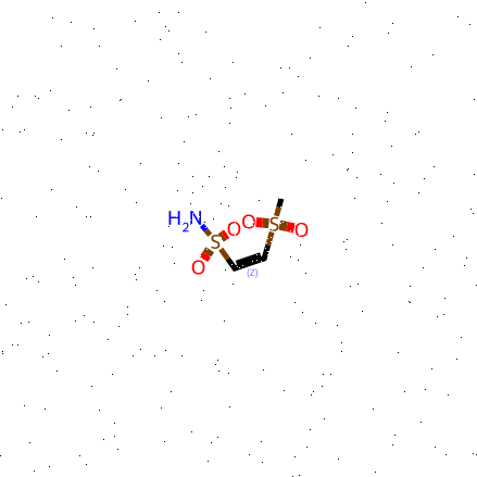 CS(=O)(=O)/C=C\S(N)(=O)=O